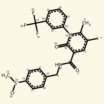 Cc1c(I)cc(C(=O)NCc2ccc([S+](C)[O-])cc2)c(=O)n1-c1cccc(C(F)(F)F)c1